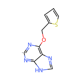 [c]1nc(OCc2cccs2)c2nc[nH]c2n1